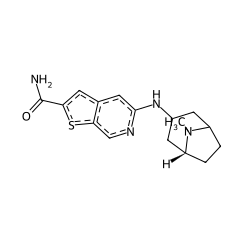 CN1C2CC[C@@H]1CC(Nc1cc3cc(C(N)=O)sc3cn1)C2